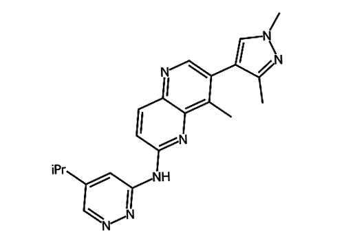 Cc1nn(C)cc1-c1cnc2ccc(Nc3cc(C(C)C)cnn3)nc2c1C